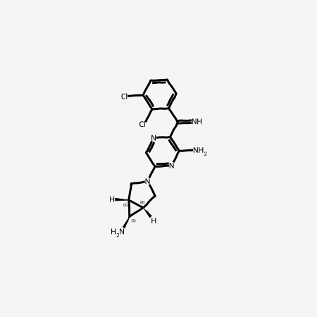 N=C(c1cccc(Cl)c1Cl)c1ncc(N2C[C@@H]3[C@@H](N)[C@@H]3C2)nc1N